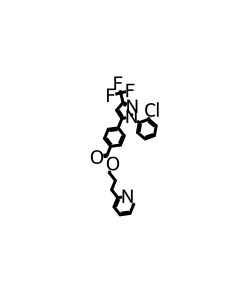 O=C(OCCCc1ccccn1)c1ccc(-c2cc(C(F)(F)F)nn2-c2ccccc2Cl)cc1